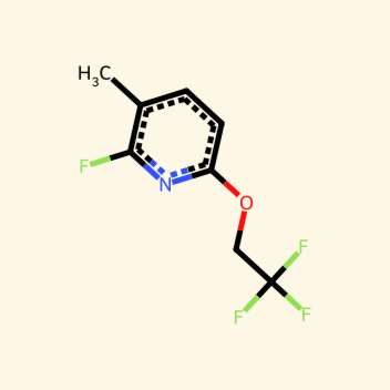 Cc1ccc(OCC(F)(F)F)nc1F